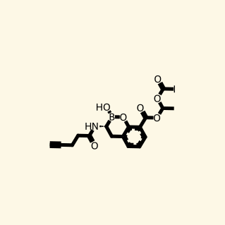 C#CCCC(=O)N[C@H]1Cc2cccc(C(=O)OC(C)OC(=O)I)c2OB1O